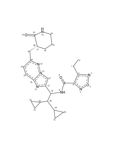 CCc1nonc1C(=O)NC(c1cn2nc(C[C@H]3CCCNC3=O)ccc2n1)C(C1CC1)C1CC1